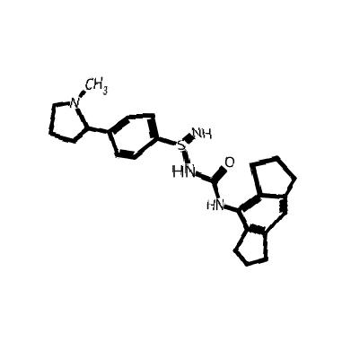 CN1CCCC1c1ccc(S(=N)NC(=O)Nc2c3c(cc4c2CCC4)CCC3)cc1